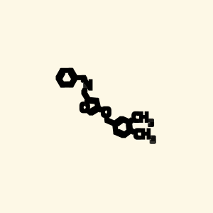 Cc1ccc(COc2coc(C/N=C\c3ccccc3)c2)cc1C